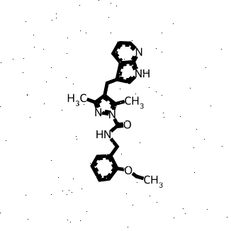 CCOc1ccccc1CNC(=O)n1nc(C)c(Cc2c[nH]c3ncccc23)c1C